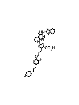 Cc1c(Nc2nc3ccccc3s2)nnc2c1CCCN2c1nc(C(=O)O)c(CCCOc2ccc(CCCN3CCN(C)CC3)cc2F)s1